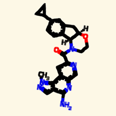 Cn1ncc2c(N)nc3cnc(C(=O)N4CCO[C@@H]5Cc6cc(C7CC7)ccc6[C@@H]54)cc3c21